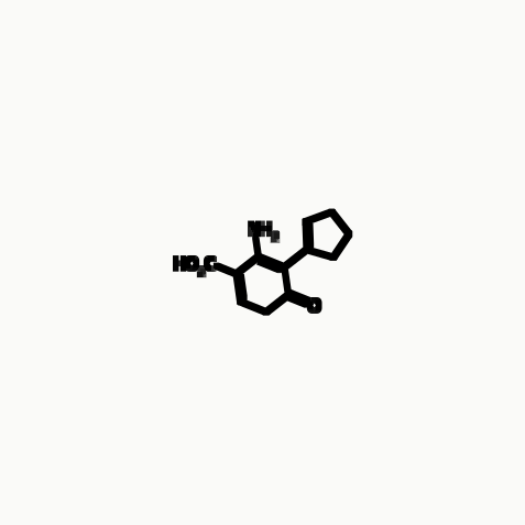 NC1=C(C2=CCCC2)C(=O)CC=C1C(=O)O